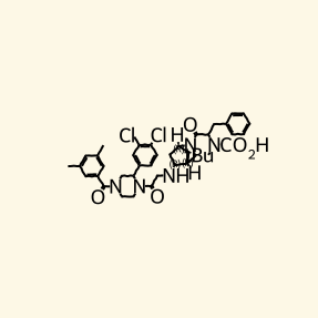 Cc1cc(C)cc(C(=O)N2CCN(C(=O)CN[C@@H]3C[C@H]4C[C@@H]3CN4C(=O)C(Cc3ccccc3)N(C(=O)O)C(C)(C)C)C(c3ccc(Cl)c(Cl)c3)C2)c1